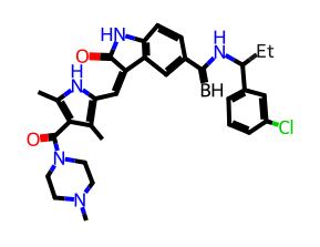 B=C(NC(CC)c1cccc(Cl)c1)c1ccc2c(c1)/C(=C/c1[nH]c(C)c(C(=O)N3CCN(C)CC3)c1C)C(=O)N2